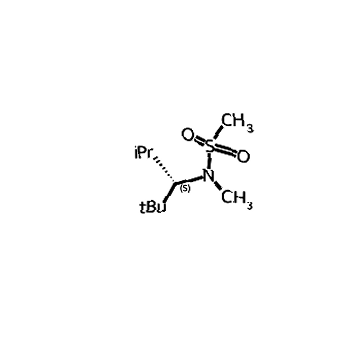 CC(C)[C@H](N(C)S(C)(=O)=O)C(C)(C)C